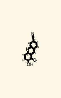 N#Cc1ccc2cc3c(nc2c1)C=CC(O)C3=O